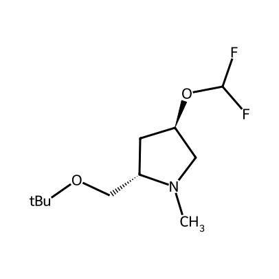 CN1C[C@H](OC(F)F)C[C@H]1COC(C)(C)C